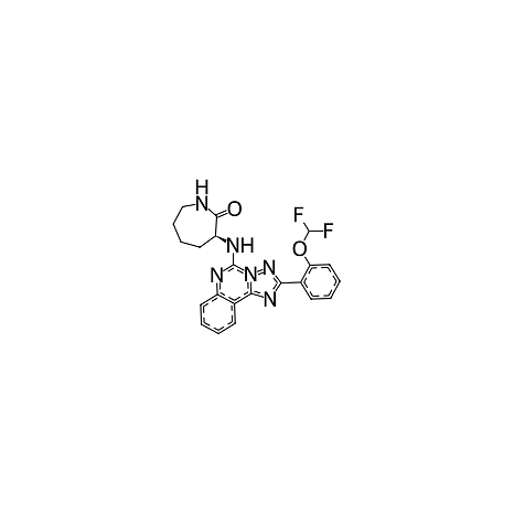 O=C1NCCCC[C@@H]1Nc1nc2ccccc2c2nc(-c3ccccc3OC(F)F)nn12